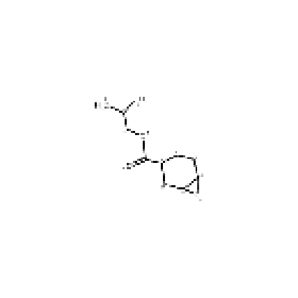 CC(C)COC(=O)C1CCC2OC2C1